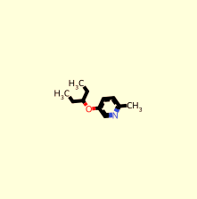 CCC(CC)Oc1ccc(C)nc1